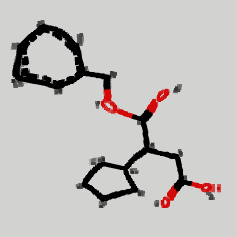 O=C(O)CC(C(=O)OCc1ccccc1)C1CCCC1